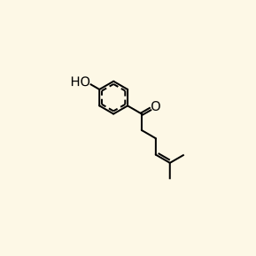 CC(C)=CCCC(=O)c1ccc(O)cc1